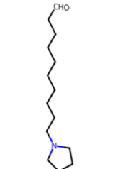 O=[C]CCCCCCCCCN1CCCC1